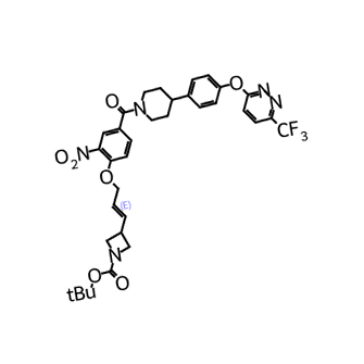 CC(C)(C)OC(=O)N1CC(/C=C/COc2ccc(C(=O)N3CCC(c4ccc(Oc5ccc(C(F)(F)F)nn5)cc4)CC3)cc2[N+](=O)[O-])C1